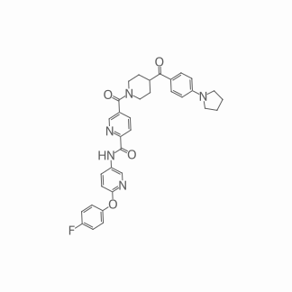 O=C(Nc1ccc(Oc2ccc(F)cc2)nc1)c1ccc(C(=O)N2CCC(C(=O)c3ccc(N4CCCC4)cc3)CC2)cn1